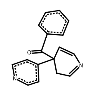 O=C(c1ccccc1)C1(c2ccncc2)C=CN=CC1